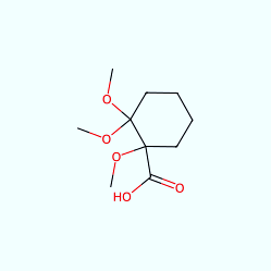 COC1(OC)CCCCC1(OC)C(=O)O